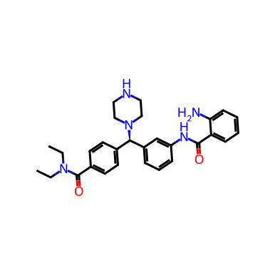 CCN(CC)C(=O)c1ccc([C@H](c2cccc(NC(=O)c3ccccc3N)c2)N2CCNCC2)cc1